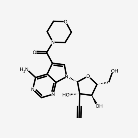 C#C[C@]1(O)[C@H](O)[C@@H](CO)O[C@H]1n1cc(C(=O)N2CCOCC2)c2c(N)ncnc21